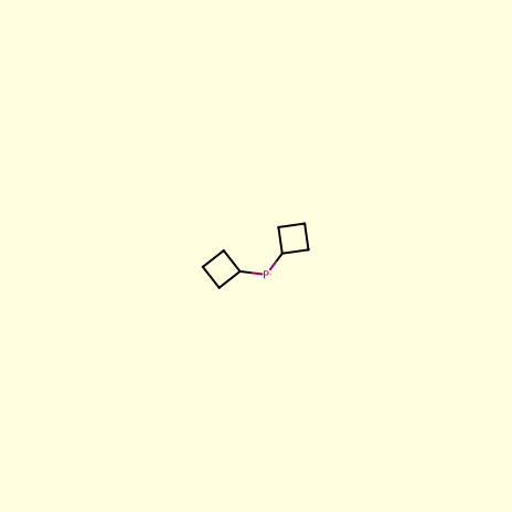 C1CC([P]C2CCC2)C1